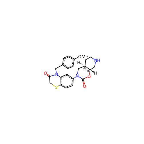 COc1ccc(CN2C(=O)CSc3ccc(N4C[C@H]5CCNC[C@@H]5OC4=O)cc32)cc1